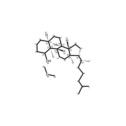 CC(C)CCC[C@@H](C)[C@H]1CC[C@H]2[C@@H]3CC[C@@H]4CCCC(O)[C@]4(C)[C@H]3CC[C@]12C.COC